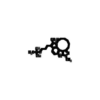 CCc1c2c(nn1C)CCCCCCn1c(C(=O)O)c(CCCO[Si](C)(C)C(C)(C)C)c3ccc(Cl)c-2c31